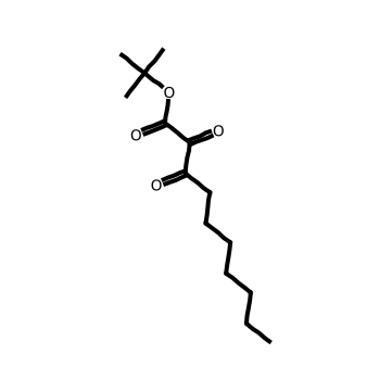 CCCCCCCC(=O)C(=O)C(=O)OC(C)(C)C